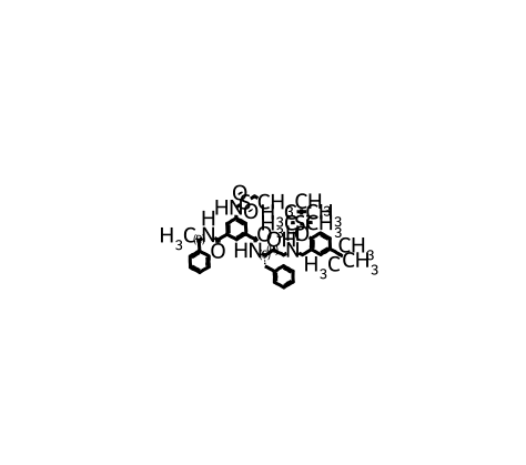 CCS(=O)(=O)Nc1cc(C(=O)N[C@@H](Cc2ccccc2)[C@H](O)CNCc2cc(C(C)(C)C)ccc2O[Si](C)(C)C(C)(C)C)cc(C(=O)N[C@H](C)c2ccccc2)c1